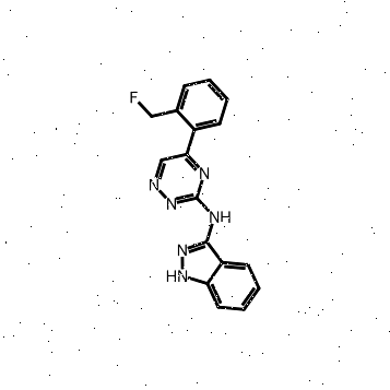 FCc1ccccc1-c1cnnc(Nc2n[nH]c3ccccc23)n1